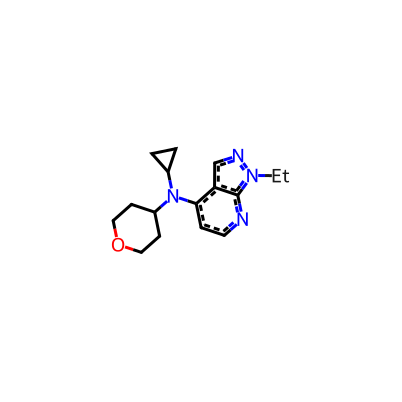 CCn1ncc2c(N(C3CCOCC3)C3CC3)ccnc21